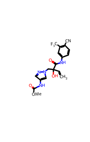 C=CC(O)(Cn1cc(NC(=O)OC)cn1)C(=O)Nc1ccc(C#N)c(C(F)(F)F)c1